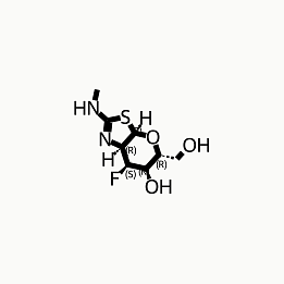 CNC1=N[C@@H]2[C@H](F)[C@H](O)[C@@H](CO)O[C@@H]2S1